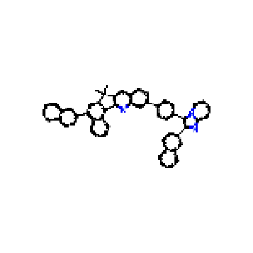 CC1(C)c2cc3ccc(-c4ccc(-c5c(-c6ccc7ccccc7c6)nc6ccccn56)cc4)cc3nc2-c2c1cc(-c1ccc3ccccc3c1)c1ccccc21